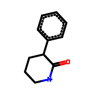 O=C1[N]CCCC1c1ccccc1